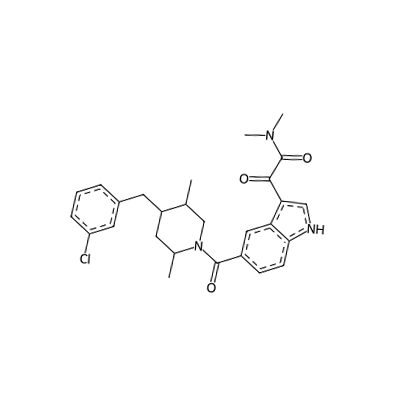 CC1CN(C(=O)c2ccc3[nH]cc(C(=O)C(=O)N(C)C)c3c2)C(C)CC1Cc1cccc(Cl)c1